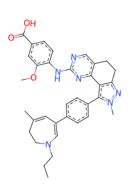 CCCN1C=C(c2ccc(-c3c4c(nn3C)CCc3cnc(Nc5ccc(C(=O)O)cc5OC)nc3-4)cc2)C=C(C)CC1